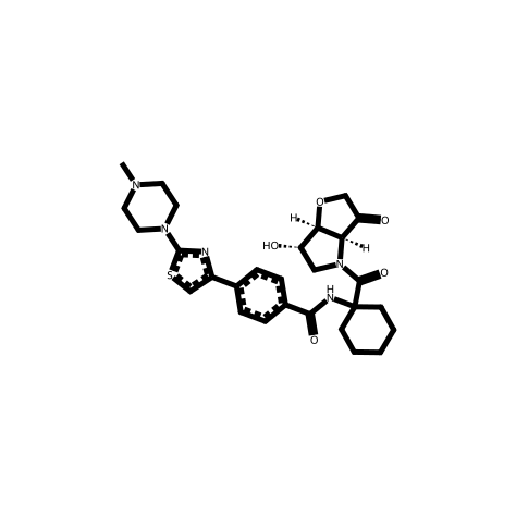 CN1CCN(c2nc(-c3ccc(C(=O)NC4(C(=O)N5C[C@H](O)[C@H]6OCC(=O)[C@H]65)CCCCC4)cc3)cs2)CC1